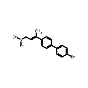 CCN(CC)CC=C(C)c1ccc(-c2ccc(Br)cc2)cc1